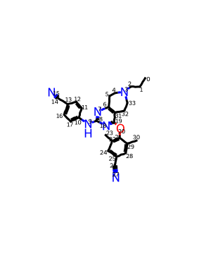 CCCN1CCc2nc(Nc3ccc(C#N)cc3)nc(Oc3c(C)cc(C#N)cc3C)c2CC1